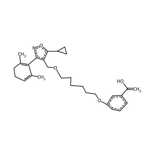 C=C(O)c1cccc(OCCCCCCOCc2c(C3=C(C)CCC=C3C)noc2C2CC2)c1